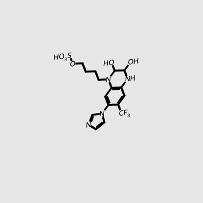 O=S(=O)(O)OCCCCN1c2cc(-n3ccnc3)c(C(F)(F)F)cc2NC(O)C1O